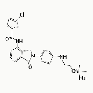 CC(C)(C)[Si](C)(C)OCCNc1ccc(N2Cc3c(NC(=O)c4ccc(Cl)s4)cccc3C2=O)cc1